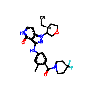 Cc1cc(Nc2nn(C3COCC[C@@H]3CC#N)c3cc[nH]c(=O)c23)ccc1C(=O)N1CCC(F)(F)CC1